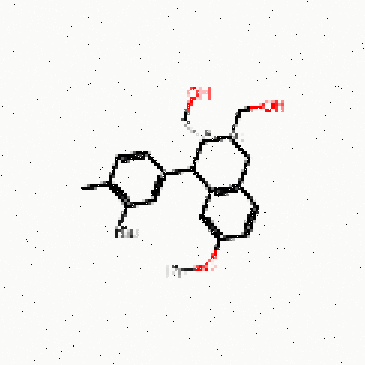 Cc1ccc(C2c3cc(OC(C)C)ccc3C[C@H](CO)[C@H]2CO)cc1C(C)(C)C